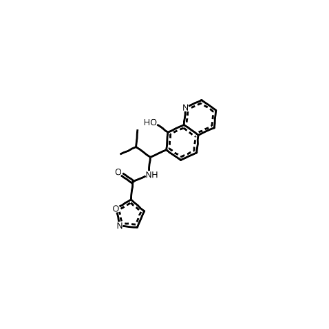 CC(C)C(NC(=O)c1ccno1)c1ccc2cccnc2c1O